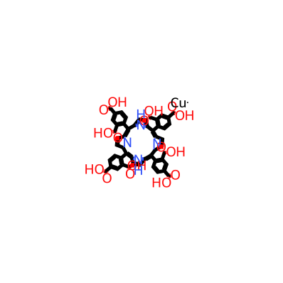 O=C(O)c1ccc(-c2c3nc(c(-c4ccc(C(=O)O)cc4C(=O)O)c4ccc([nH]4)c(-c4ccc(C(=O)O)cc4C(=O)O)c4nc(c(-c5ccc(C(=O)O)cc5C(=O)O)c5ccc2[nH]5)C=C4)C=C3)c(C(=O)O)c1.[Cu]